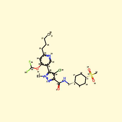 CCn1nc(C(=O)NC[C@H]2CC[C@@H](S(C)(=O)=O)CC2)c(Cl)c1-c1cnc(CCCC(F)(F)F)cc1OC(F)F